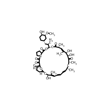 CO[C@@H]1C[C@H](C[C@@H](C)[C@@H]2CC(=O)[C@H](C)/C=C(\C)[C@@H](O)[C@@H](O)C(=O)[C@H](C)C[C@H](C)/C=C/C=C/C=C(\C)[C@@H](O)C[C@@H]3CC[C@@H](C)[C@@](O)(O3)C(=O)C(=O)N3CCCC3C(=O)O2)CC[C@H]1O